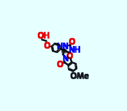 COc1ccc2c(c1)C(=O)N(C[C@@]1(c3ccc(OCCO)cc3)NC(=O)NC1=O)C2